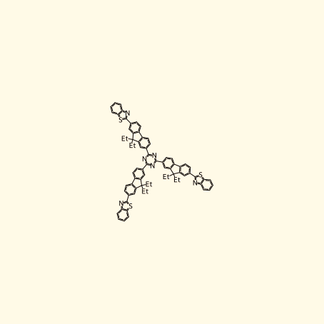 CCC1(CC)c2cc(-c3nc(-c4ccc5c(c4)C(CC)(CC)c4cc(-c6nc7ccccc7s6)ccc4-5)nc(-c4ccc5c(c4)C(CC)(CC)c4cc(-c6nc7ccccc7s6)ccc4-5)n3)ccc2-c2ccc(-c3nc4ccccc4s3)cc21